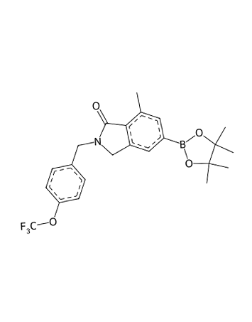 Cc1cc(B2OC(C)(C)C(C)(C)O2)cc2c1C(=O)N(Cc1ccc(OC(F)(F)F)cc1)C2